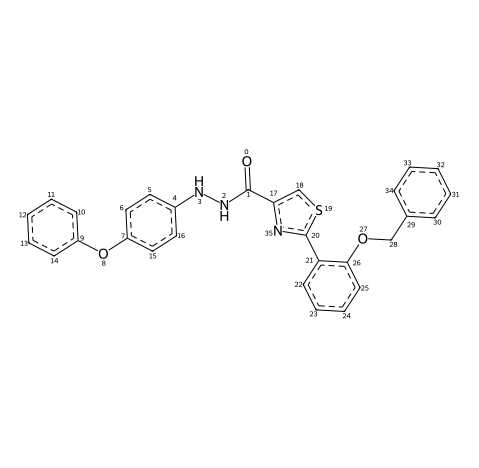 O=C(NNc1ccc(Oc2ccccc2)cc1)c1csc(-c2ccccc2OCc2ccccc2)n1